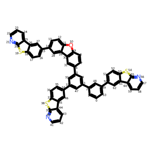 c1cc(-c2cc(-c3ccc4oc5ccc(-c6ccc7sc8ncccc8c7c6)cc5c4c3)cc(-c3ccc4sc5ncccc5c4c3)c2)cc(-c2ccc3sc4ncccc4c3c2)c1